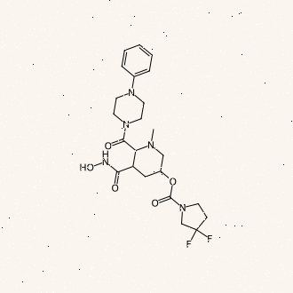 CN1CC(OC(=O)N2CCC(F)(F)C2)CC(C(=O)NO)C1C(=O)N1CCN(c2ccccc2)CC1